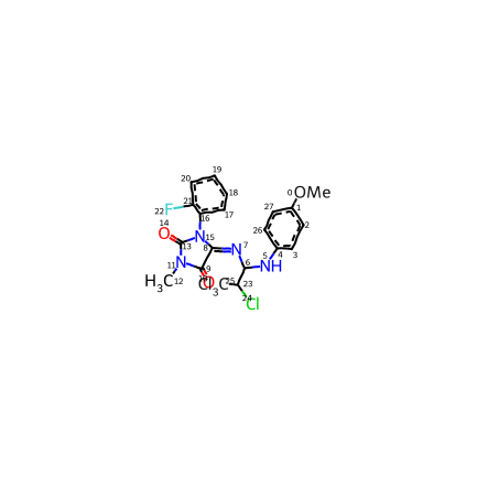 COc1ccc(NC(N=C2C(=O)N(C)C(=O)N2c2ccccc2F)C(Cl)C(Cl)(Cl)Cl)cc1